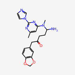 Cc1cc(N(C)C(N)CCC(=O)Cc2ccc3c(c2)OCO3)nc(-n2ccnc2)n1